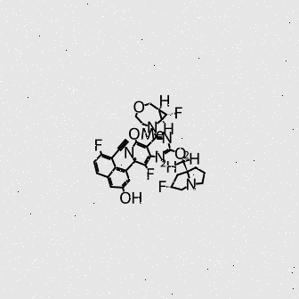 [2H]C([2H])(Oc1nc(N2CCOC[C@H]3[C@H](F)[C@H]32)c2c(OC)nc(-c3cc(O)cc4ccc(F)c(C#C)c34)c(F)c2n1)[C@@]12CCCN1C[C@H](F)C2